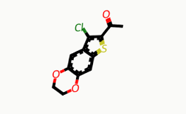 CC(=O)c1sc2cc3c(cc2c1Cl)OCCO3